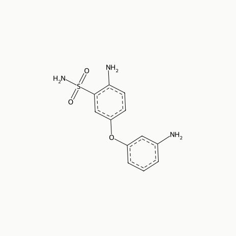 Nc1cccc(Oc2ccc(N)c(S(N)(=O)=O)c2)c1